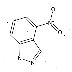 O=[N+]([O-])c1cccc2c1C=N[N]2